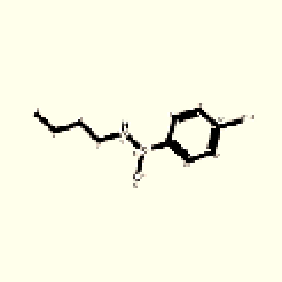 CCCCN[S+]([O-])c1ccc(F)cc1